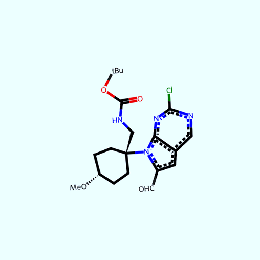 CO[C@H]1CC[C@@](CNC(=O)OC(C)(C)C)(n2c(C=O)cc3cnc(Cl)nc32)CC1